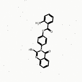 CCCCc1nc2ccccc2c(=O)n1-c1ccc(OC(=O)c2ccccc2N)cc1